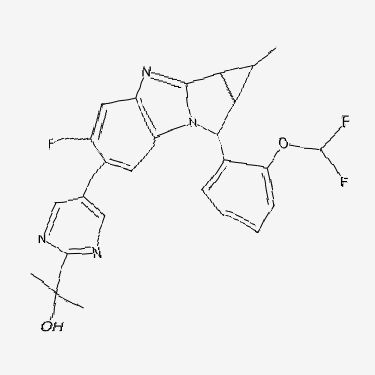 CC1C2c3nc4cc(F)c(-c5cnc(C(C)(C)O)nc5)cc4n3C(c3ccccc3OC(F)F)C12